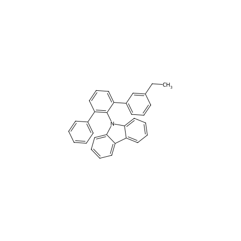 CCc1cccc(-c2cccc(-c3ccccc3)c2-n2c3ccccc3c3ccccc32)c1